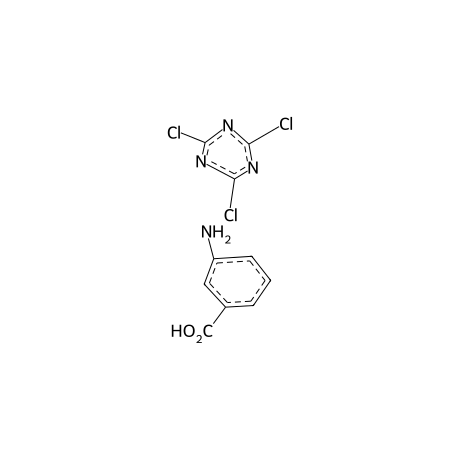 Clc1nc(Cl)nc(Cl)n1.Nc1cccc(C(=O)O)c1